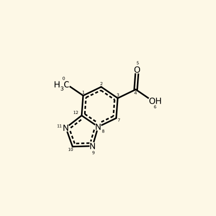 Cc1cc(C(=O)O)cn2ncnc12